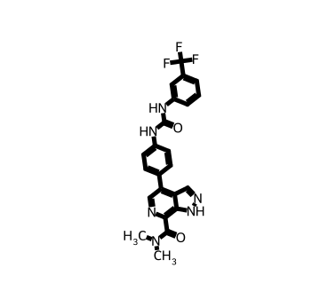 CN(C)C(=O)c1ncc(-c2ccc(NC(=O)Nc3cccc(C(F)(F)F)c3)cc2)c2cn[nH]c12